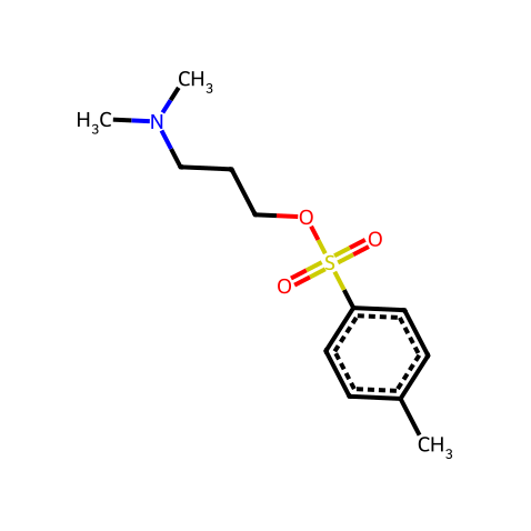 Cc1ccc(S(=O)(=O)OCCCN(C)C)cc1